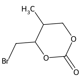 CC1COC(=O)OC1CBr